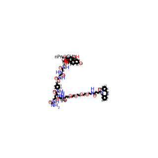 CCCC1O[C@@H]2C[C@H]3[C@@H]4CCC5=CC(=O)C=C[C@]5(C)[C@H]4[C@@H](O)C[C@]3(C)[C@]2(C(=O)COCNC(=O)CNC(=O)CNC(=O)OCc2ccc(NC(=O)[C@H](CCCNC(N)=O)NC(=O)[C@@H](NC(=O)CCOCCOCCOCCOCCNC(=O)CCC(=O)N3Cc4ccccc4/C=C\c4ccccc43)C(C)C)cc2)O1